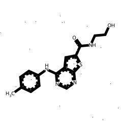 Cc1ccc(Nc2ncnc3sc(C(=O)NCCO)cc23)cc1